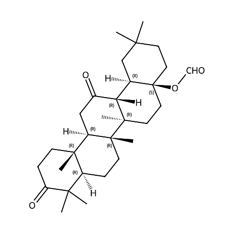 CC1(C)CC[C@]2(OC=O)CC[C@]3(C)[C@H](C(=O)C[C@@H]4[C@@]5(C)CCC(=O)C(C)(C)[C@@H]5CC[C@]43C)[C@H]2C1